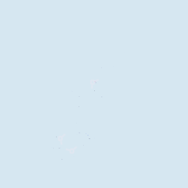 CCCCCCCCOc1ccc(CCC2(N)COC(C)(C)OC2)cc1CF